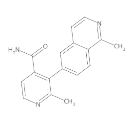 Cc1nccc(C(N)=O)c1-c1ccc2c(C)nccc2c1